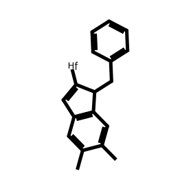 Cc1cc2c(cc1C)C(Cc1ccccc1)[C]([Hf])=C2